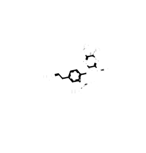 C=CCc1ccc(C[C@@H]2N=C(OCC)[C@@H](C(C)C)N=C2OCC)c([SiH](C)C)c1